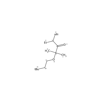 CCCC(CC)C(=O)C(C)(C)OCCC(C)(C)C